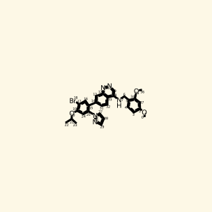 COc1ccc(CNc2cnnc3cc(-c4cc(Br)c(OC(C)C)cc4-n4cccn4)ccc23)c(OC)c1